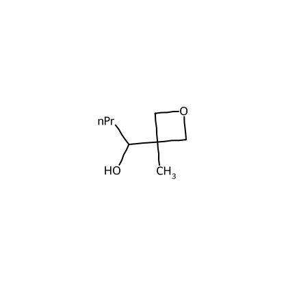 CCCC(O)C1(C)COC1